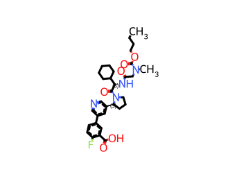 CCCCOC(=O)N(C)CC(=O)N[C@H](C(=O)N1CCC[C@H]1c1cncc(-c2ccc(F)c(C(=O)O)c2)c1)C1CCCCC1